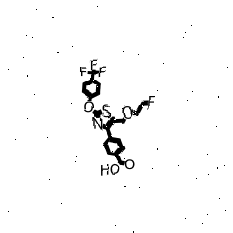 O=C(O)c1ccc(-c2nc(Oc3ccc(C(F)(F)F)cc3)sc2COCCF)cc1